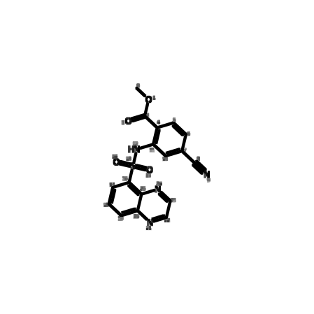 COC(=O)c1ccc(C#N)cc1NS(=O)(=O)c1cccc2nccnc12